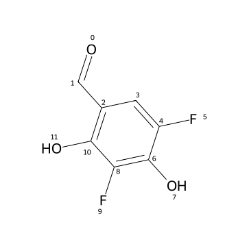 O=Cc1cc(F)c(O)c(F)c1O